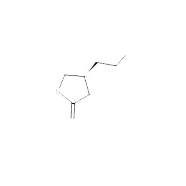 O=C1C[C@H](CCC(F)(F)F)CN1